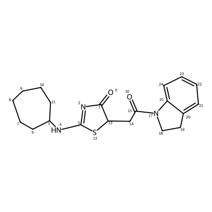 O=C1N=C(NC2CCCCCC2)SC1CC(=O)N1CCc2ccccc21